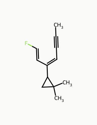 CC#CC=C(C=CF)C1CC1(C)C